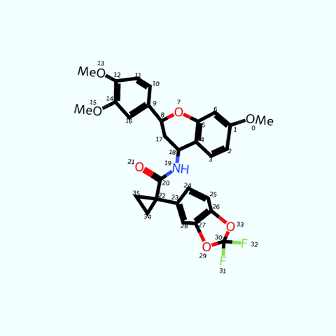 COc1ccc2c(c1)OC(c1ccc(OC)c(OC)c1)CC2NC(=O)C1(c2ccc3c(c2)OC(F)(F)O3)CC1